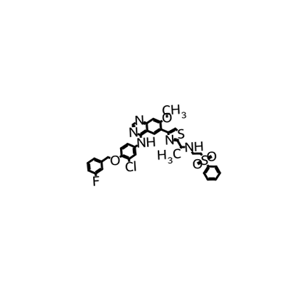 COc1cc2ncnc(Nc3ccc(OCc4cccc(F)c4)c(Cl)c3)c2cc1-c1csc(C(C)NCCS(=O)(=O)c2ccccc2)n1